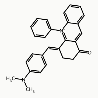 CN(C)c1ccc(C=C2CCC(=O)c3cc4ccccc4[n+](-c4ccccc4)c32)cc1